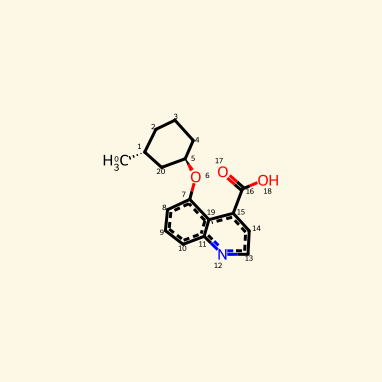 C[C@@H]1CCC[C@@H](Oc2cccc3nccc(C(=O)O)c23)C1